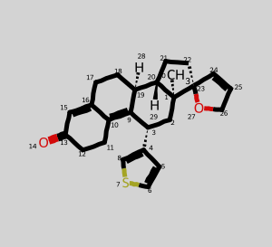 C[C@]12C[C@H](c3ccsc3)C3=C4CCC(=O)C=C4CC[C@H]3[C@@H]1CC[C@@]21C=CCO1